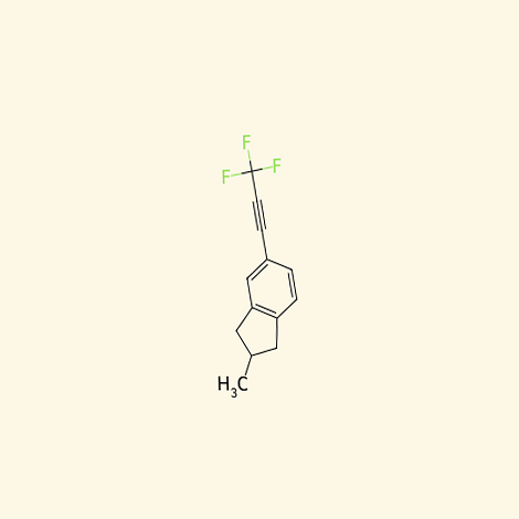 CC1Cc2ccc(C#CC(F)(F)F)cc2C1